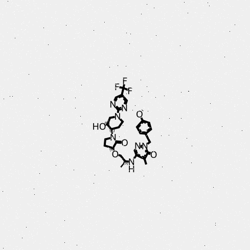 COc1ccc(Cn2ncc(N[C@@H](C)CO[C@@H]3CCN([C@@H]4CCN(c5ncc(C(F)(F)F)cn5)C[C@H]4O)C3=O)c(C)c2=O)cc1